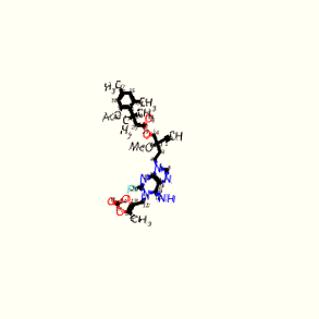 C#CC(CCn1cnc2c(=N)n(Cc3oc(=O)oc3C)c(F)nc21)(COC(=O)CC(C)(C)c1c(C)cc(C)cc1OC(C)=O)OC